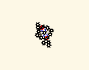 N#Cc1c(-n2c3ccccc3c3ccccc32)c(-n2c3cccc(-c4ccccc4-c4cccc5ccccc45)c3c3ccc4c5ccccc5sc4c32)c(C#N)c(-n2c3ccccc3c3ccccc32)c1-n1c2cc(-c3cccc4ccccc34)ccc2c2ccc3c4ccccc4sc3c21